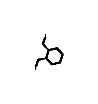 IC[C@@H]1CCCC[C@@H]1CI